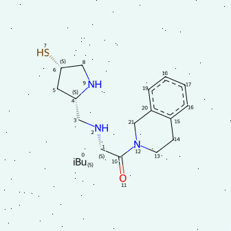 CC[C@H](C)[C@H](NC[C@@H]1C[C@H](S)CN1)C(=O)N1CCc2ccccc2C1